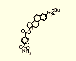 CC(C)(C)[Si](C)(C)Oc1ccc2c(c1)CCC1C2CC[C@@]2(C)C1CC[C@@H]2OC(=O)c1ccc(S(N)(=O)=O)nc1